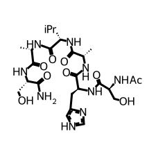 CC(=O)N[C@@H](CO)C(=O)N[C@@H](Cc1c[nH]cn1)C(=O)N[C@@H](C)C(=O)N[C@H](C(=O)N[C@@H](C)C(=O)N[C@@H](CO)C(N)=O)C(C)C